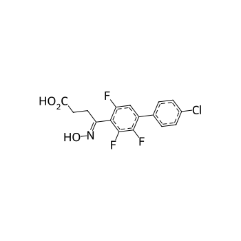 O=C(O)CCC(=NO)c1c(F)cc(-c2ccc(Cl)cc2)c(F)c1F